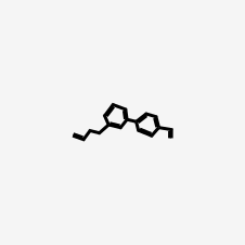 C=CCCc1cccc(-c2ccc(C=C)cc2)c1